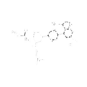 CCOc1cc(-c2ccc(C3CC[C@@H](NC(=O)OC(C)(C)C)[C@H](OCCN(C)C)C3)nc2)c2c(C#N)cnn2c1